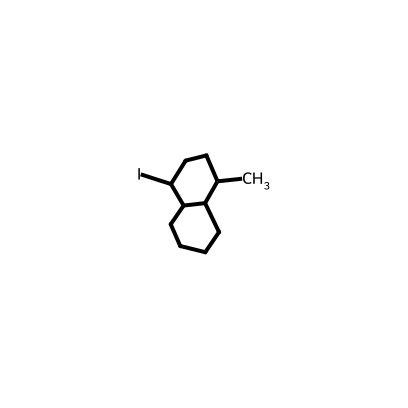 CC1CCC(I)C2CCCCC12